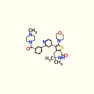 CN1CCN(C(=O)c2cccc(-c3cc(-c4c(N5CCOCC5)sc5c4CC(C)(C)NC5=O)ccn3)c2)CC1